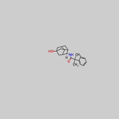 CC(C)(C(=O)N[C@H]1C2CC3CC1C[C@@](O)(C3)C2)c1ccccc1